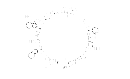 CCCC[C@H]1C(=O)N(C)[C@@H](CCCC)C(=O)N[C@@H](CC(C)C)C(=O)N[C@H](C(N)=O)CSCC(=O)N[C@@H](Cc2ccc(O)cc2)C(=O)N(C)[C@@H](C)C(=O)N[C@@H](CC(N)=O)C(=O)N2CCC[C@H]2C(=O)N[C@@H](CN)C(=O)N[C@@H](CC(C)C)C(=O)N2C[C@H](O)C[C@H]2C(=O)N[C@@H](Cc2c[nH]c3ccccc23)C(=O)N[C@@H](CCN)C(=O)N[C@@H](Cc2nn(CC(=O)O)c3ccccc23)C(=O)N1C